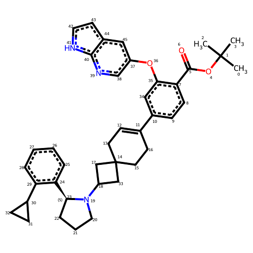 CC(C)(C)OC(=O)c1ccc(C2=CCC3(CC2)CC(N2CCC[C@H]2c2ccccc2C2CC2)C3)cc1Oc1cnc2[nH]ccc2c1